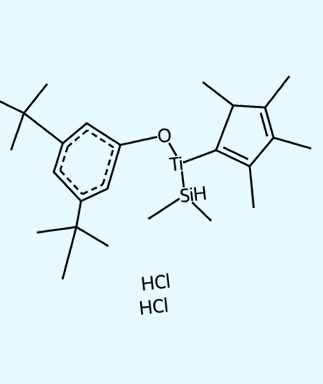 CC1=C(C)C(C)[C]([Ti]([O]c2cc(C(C)(C)C)cc(C(C)(C)C)c2)[SiH](C)C)=C1C.Cl.Cl